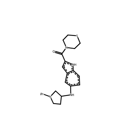 CC(C)N1CCC(Nc2ccc3[nH]c(C(=O)N4CCSCC4)cc3c2)C1